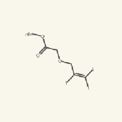 CCCCOC(=O)COCC(I)=C(I)I